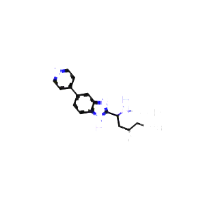 C[C@H](CC(NC(=O)O)c1nc2cc(-c3ccncc3)ccc2[nH]1)CC(C)(C)C